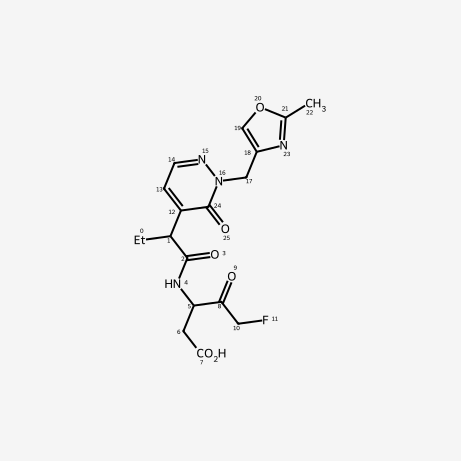 CCC(C(=O)NC(CC(=O)O)C(=O)CF)c1ccnn(Cc2coc(C)n2)c1=O